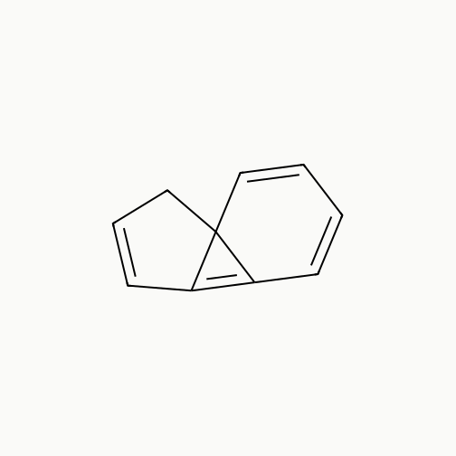 C1=CC2=C3C=CCC23C=C1